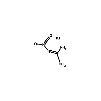 Cl.NC(N)=N[N+](=O)[O-]